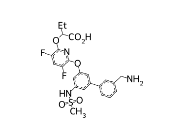 CCC(Oc1nc(Oc2cc(NS(C)(=O)=O)cc(-c3cccc(CN)c3)c2)c(F)cc1F)C(=O)O